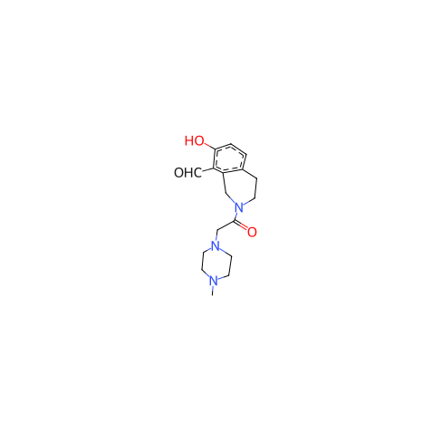 CN1CCN(CC(=O)N2CCc3ccc(O)c(C=O)c3C2)CC1